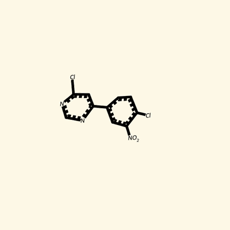 O=[N+]([O-])c1cc(-c2cc(Cl)ncn2)ccc1Cl